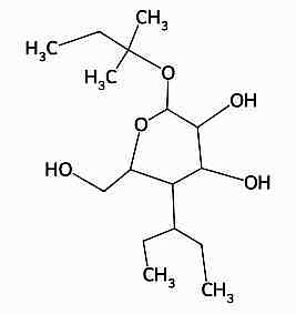 CCC(CC)C1C(CO)OC(OC(C)(C)CC)C(O)C1O